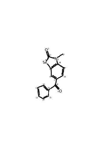 Cn1c(=O)[se]c2cc(C(=O)c3ccccc3)ccc21